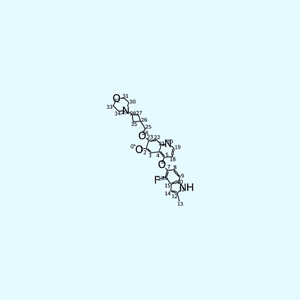 COc1cc2c(Oc3ccc4[nH]c(C)cc4c3F)ccnc2cc1OCC1CC(N2CCOCC2)C1